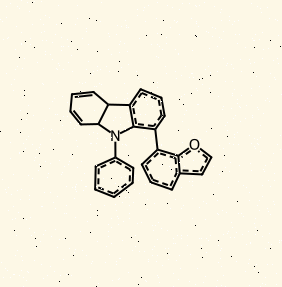 C1=CC2c3cccc(-c4cccc5ccoc45)c3N(c3ccccc3)C2C=C1